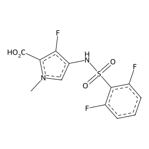 Cn1cc(NS(=O)(=O)c2c(F)cccc2F)c(F)c1C(=O)O